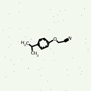 CC(C)c1ccc(OCC#N)cc1